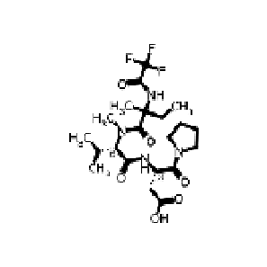 CCC(C)(NC(=O)C(F)(F)F)C(=O)N(C)[C@H](C(=O)N[C@@H](CC(=O)O)C(=O)N1CCCC1)C(C)C